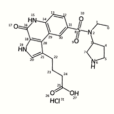 CCN(C1CCNC1)S(=O)(=O)c1ccc2[nH]c(=O)c3[nH]cc(CCCC(=O)O)c3c2c1.Cl